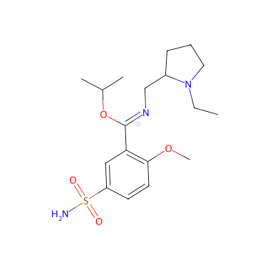 CCN1CCCC1C/N=C(\OC(C)C)c1cc(S(N)(=O)=O)ccc1OC